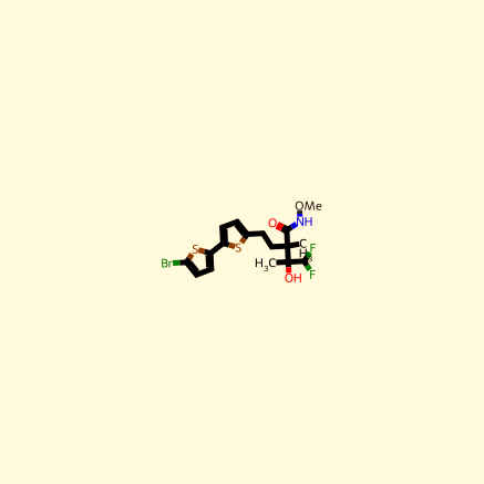 CONC(=O)C(C)(CCc1ccc(-c2ccc(Br)s2)s1)C(C)(O)C(F)F